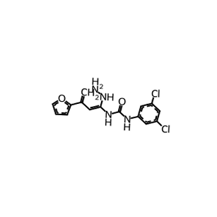 C=C(/C=C(\NN)NC(=O)Nc1cc(Cl)cc(Cl)c1)c1ccco1